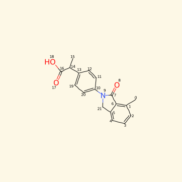 Cc1cccc2c1C(=O)N(c1ccc(C(C)C(=O)O)cc1)C2